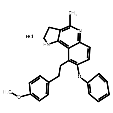 COc1ccc(CCc2c(Oc3ccccc3)ccc3nc(C)c4c(c23)NCC4)cc1.Cl